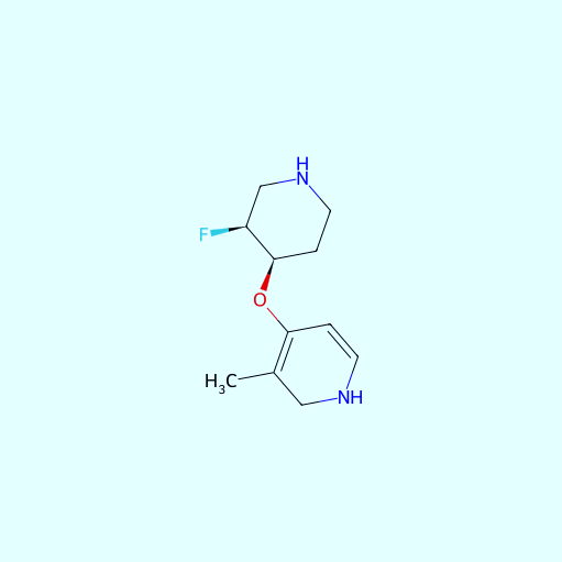 CC1=C(O[C@@H]2CCNC[C@@H]2F)C=CNC1